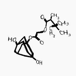 CC(C(=O)OCC(=O)OC12CC3CC(O)(CC(O)(C3)C1)C2)C(C)(C)C